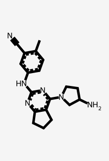 Cc1ccc(Nc2nc3c(c(N4CCC(N)C4)n2)CCC3)cc1C#N